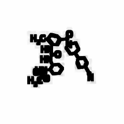 Cc1ccc(C(=O)N2CCC(c3ccc(C#N)cc3)CC2)cc1NC(=O)N[C@H]1CCCC[C@H]1NS(C)(=O)=O